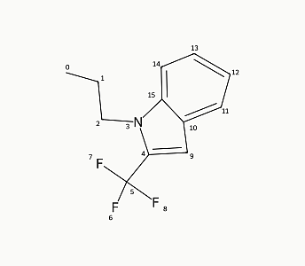 CCCn1c(C(F)(F)F)cc2ccccc21